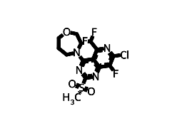 CS(=O)(=O)c1nc(N2CCCOCC2)c2c(C(F)F)nc(Cl)c(F)c2n1